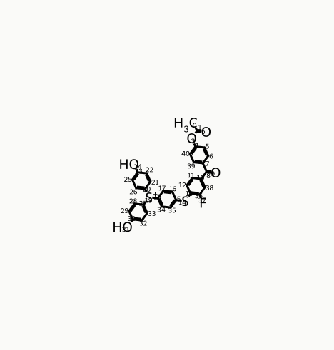 CC(=O)Oc1ccc(C(=O)c2ccc(Sc3ccc([S+](c4ccc(O)cc4)c4ccc(O)cc4)cc3)c(F)c2)cc1